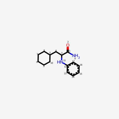 NC(=O)C(CC1CCCCC1)Nc1ccccc1